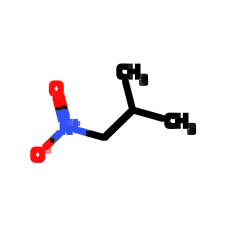 CC(C)C[N+](=O)[O-]